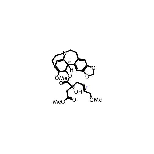 COC/C=C/C[C@@](O)(CC(=O)OC)C(=O)OC1C(OC)=C2C=C3[C@@H]1c1cc4c(cc1CCN3CC2)OCO4